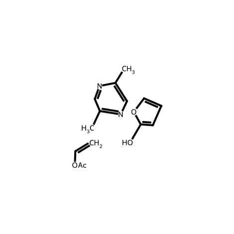 C=COC(C)=O.Cc1cnc(C)cn1.Oc1ccco1